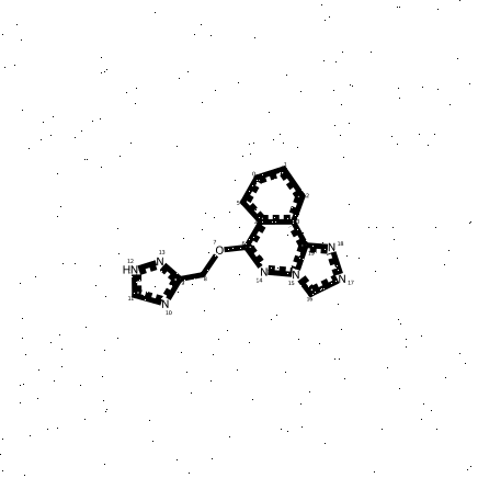 c1ccc2c(c1)c(OCc1nc[nH]n1)nn1cnnc21